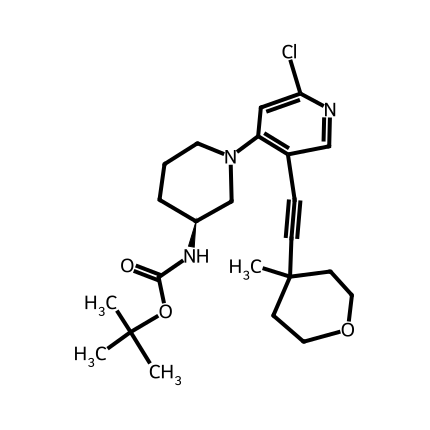 CC1(C#Cc2cnc(Cl)cc2N2CCC[C@H](NC(=O)OC(C)(C)C)C2)CCOCC1